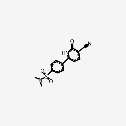 CN(C)S(=O)(=O)c1ccc(-c2ccc(C#N)c(=O)[nH]2)cc1